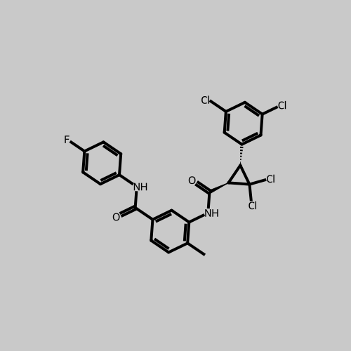 Cc1ccc(C(=O)Nc2ccc(F)cc2)cc1NC(=O)[C@H]1[C@H](c2cc(Cl)cc(Cl)c2)C1(Cl)Cl